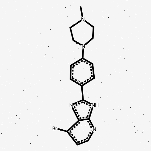 CN1CCN(c2ccc(-c3nc4c(Br)ccnc4[nH]3)cc2)CC1